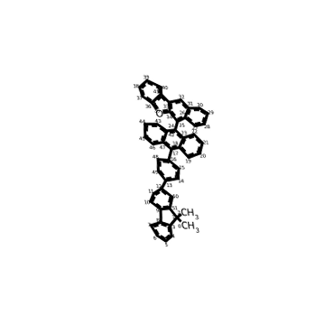 CC1(C)c2ccccc2-c2ccc(-c3ccc(-c4c5ccccc5c(-c5c6ccccc6cc6c5oc5ccccc56)c5ccccc45)cc3)cc21